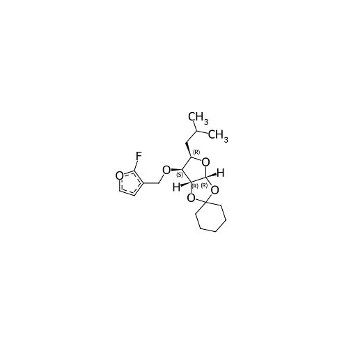 CC(C)C[C@H]1O[C@@H]2OC3(CCCCC3)O[C@@H]2[C@H]1OCc1ccoc1F